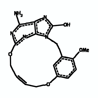 COc1ccc2cc1Cn1c(O)nc3c(N)nc(nc31)OC/C=C\CO2